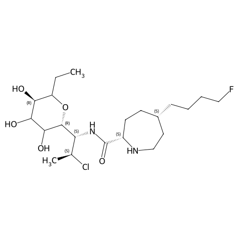 CCC1O[C@H]([C@H](NC(=O)[C@@H]2CC[C@H](CCCCF)CCN2)[C@H](C)Cl)C(O)C(O)[C@H]1O